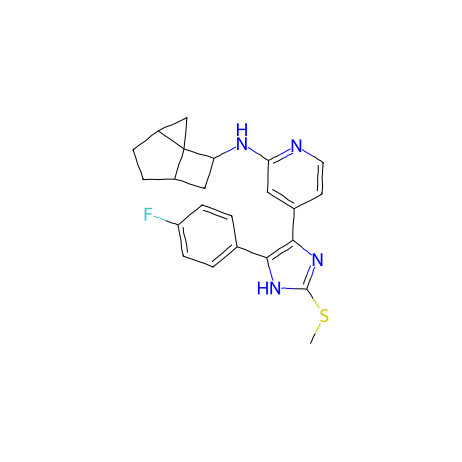 CSc1nc(-c2ccnc(NC3CC4CCC5CC453)c2)c(-c2ccc(F)cc2)[nH]1